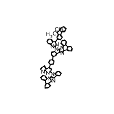 CC1(C)c2ccccc2-c2ccc(-c3nc(-n4c5ccc(-c6ccc(-c7cc(-n8c9ccccc9c9nc%10c%11ccccc%11c%11ccccc%11n%10c98)nc8ncccc78)cc6)cc5c5nc6c7ccccc7c7ccccc7n6c54)nc4ccccc34)cc21